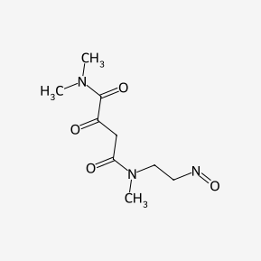 CN(C)C(=O)C(=O)CC(=O)N(C)CCN=O